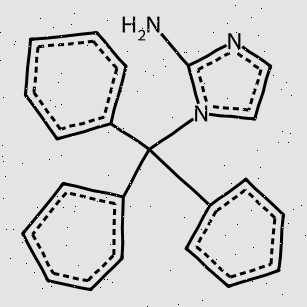 Nc1nccn1C(c1ccccc1)(c1ccccc1)c1ccccc1